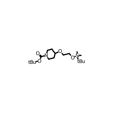 CC(C)(C)OC(=O)N1CCC(OCCO[Si](C)(C)C(C)(C)C)CC1